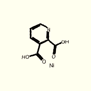 O=C(O)c1cccnc1C(=O)O.[Ni]